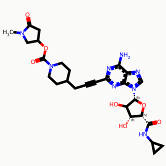 CN1CC(OC(=O)N2CCC(CC#Cc3nc(N)c4ncn([C@@H]5O[C@H](C(=O)NC6CC6)[C@H](O)C5O)c4n3)CC2)CC1=O